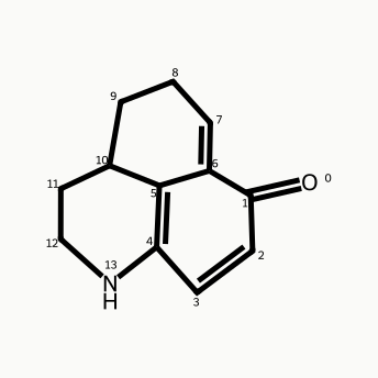 O=C1C=CC2=C3C1=CCCC3CCN2